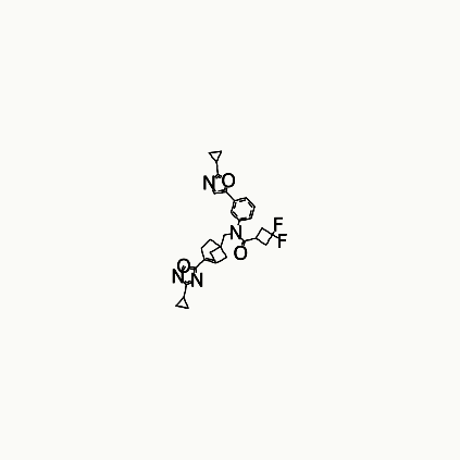 O=C(C1CC(F)(F)C1)N(CC12CCC(c3nc(C4CC4)no3)=C(C1)C2)c1cccc(-c2cnc(C3CC3)o2)c1